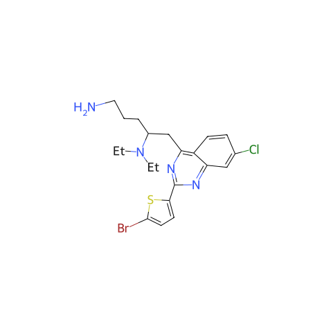 CCN(CC)C(CCCN)Cc1nc(-c2ccc(Br)s2)nc2cc(Cl)ccc12